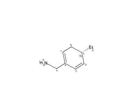 CC[C@@H]1C=CC(CN)=CC1